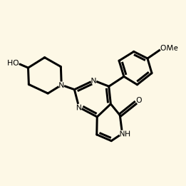 COc1ccc(-c2nc(N3CCC(O)CC3)nc3cc[nH]c(=O)c23)cc1